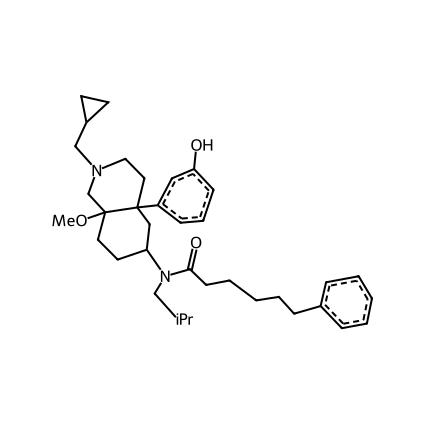 COC12CCC(N(CC(C)C)C(=O)CCCCCc3ccccc3)CC1(c1cccc(O)c1)CCN(CC1CC1)C2